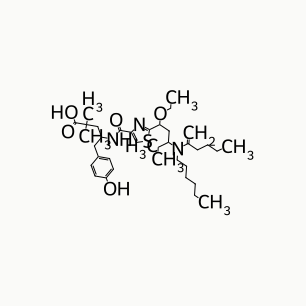 C=C(CCCC)N(CCCCCC)C(CC(OCC)c1nc(C(=O)NC(Cc2ccc(O)cc2)CC(C)(C)C(=O)O)cs1)C(C)C